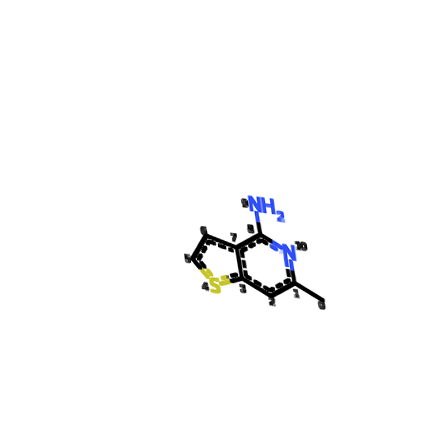 Cc1cc2sccc2c(N)n1